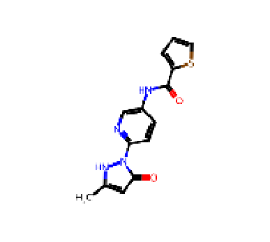 Cc1cc(=O)n(-c2ccc(NC(=O)c3cccs3)cn2)[nH]1